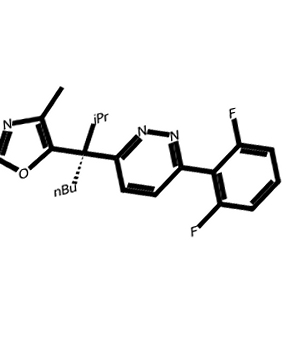 CCCC[C@](c1ccc(-c2c(F)cccc2F)nn1)(c1ocnc1C)C(C)C